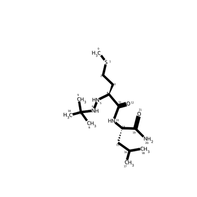 CSCC[C@H](NNC(C)(C)C)C(=O)N[C@@H](CC(C)C)C(N)=O